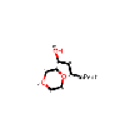 C1COCCO1.CCCCCCCCO